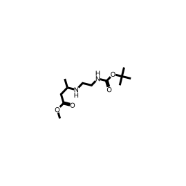 COC(=O)CC(C)NCCNC(=O)OC(C)(C)C